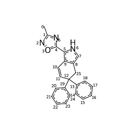 Cc1noc(-c2[nH]cc3c2C=CC(c2ccccc2)(c2ccccc2)C3)n1